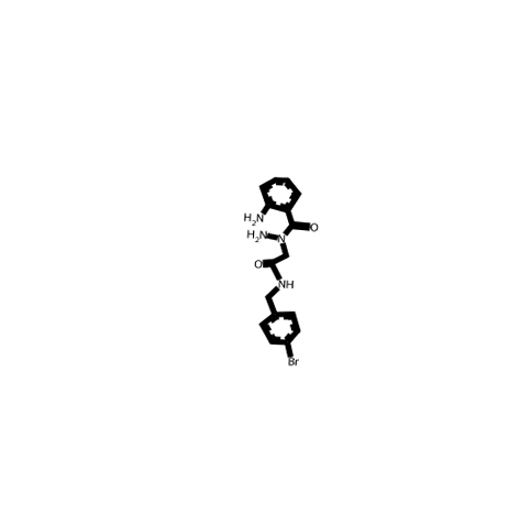 Nc1ccccc1C(=O)N(N)CC(=O)NCc1ccc(Br)cc1